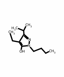 CCCCn1nc(C(C)C)c(CC)c1O